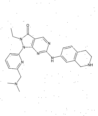 CCn1c(=O)c2cnc(Nc3ccc4c(c3)CNCC4)nc2n1-c1cccc(CN(C)C)n1